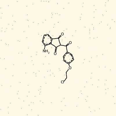 Nc1cccc2c1C(=O)C(C(=O)c1ccc(OCCCl)cc1)C2=O